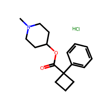 CN1CCC(OC(=O)C2(c3ccccc3)CCC2)CC1.Cl